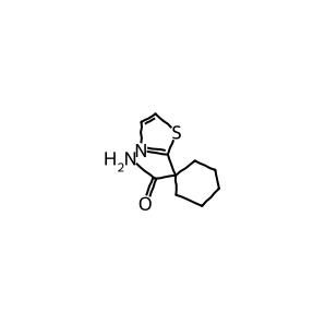 NC(=O)C1(c2nccs2)CCCCC1